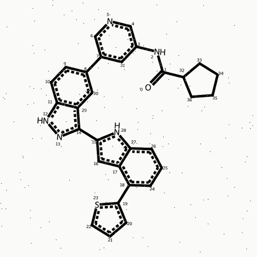 O=C(Nc1cncc(-c2ccc3[nH]nc(-c4cc5c(-c6cccs6)cccc5[nH]4)c3c2)c1)C1CCCC1